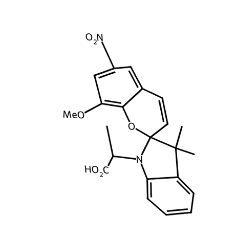 COc1cc([N+](=O)[O-])cc2c1OC1(C=C2)N(C(C)C(=O)O)c2ccccc2C1(C)C